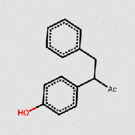 CC(=O)C(Cc1ccccc1)c1ccc(O)cc1